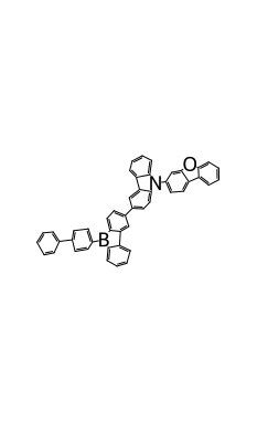 c1ccc(-c2ccc(B3c4ccccc4-c4cc(-c5ccc6c(c5)c5ccccc5n6-c5ccc6c(c5)oc5ccccc56)ccc43)cc2)cc1